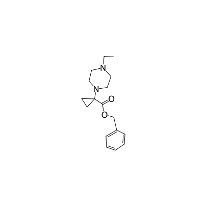 CCN1CCN(C2(C(=O)OCc3ccccc3)CC2)CC1